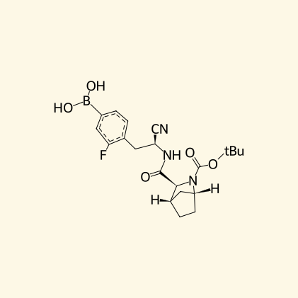 CC(C)(C)OC(=O)N1[C@@H]2CC[C@@H](C2)[C@H]1C(=O)N[C@H](C#N)Cc1ccc(B(O)O)cc1F